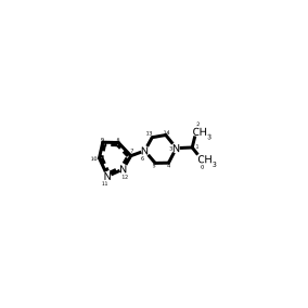 CC(C)N1CCN(c2cccnn2)CC1